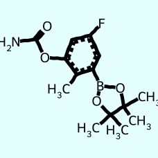 Cc1c(OC(N)=O)cc(F)cc1B1OC(C)(C)C(C)(C)O1